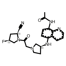 CC(=O)Nc1ccc(N[C@H]2CCN(CC(=O)N3C[C@@H](F)C[C@H]3C#N)C2)c2cccnc12